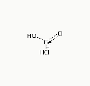 Cl.[O]=[GeH][OH]